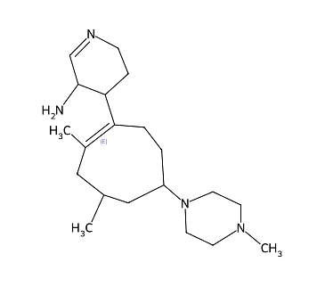 C/C1=C(\C2CCN=CC2N)CCC(N2CCN(C)CC2)CC(C)C1